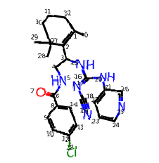 CC1=C(C(CNC(=O)c2ccc(Cl)cc2)NC(=NC#N)Nc2cccnc2)C(C)(C)CCC1